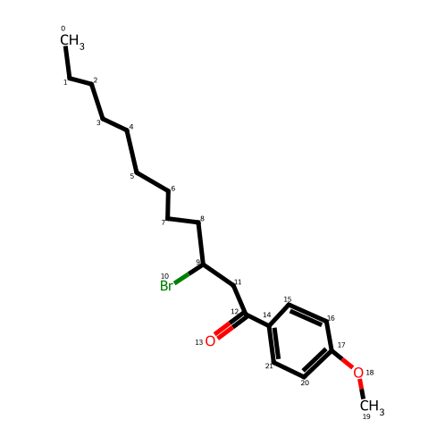 CCCCCCCCCC(Br)CC(=O)c1ccc(OC)cc1